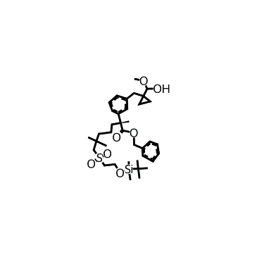 COC(O)C1(Cc2cccc([C@@](C)(CCCC(C)(C)CS(=O)(=O)CCO[Si](C)(C)C(C)(C)C)C(=O)OCc3ccccc3)c2)CC1